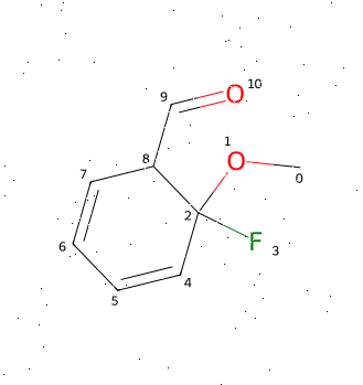 COC1(F)C=CC=CC1C=O